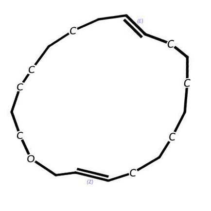 C1=C\COCCCCCCC/C=C/CCCCCCC/1